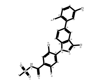 CS(=O)(=O)NC(=O)c1cc(Cl)c(-n2nc(Cl)c3cc(-c4cc(Cl)ccc4F)ccc32)cc1F